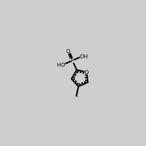 [CH2]c1coc(P(=O)(O)O)c1